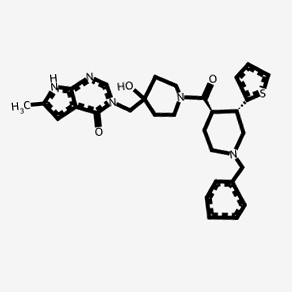 Cc1cc2c(=O)n(CC3(O)CCN(C(=O)[C@@H]4CCN(Cc5ccccc5)C[C@H]4c4cccs4)CC3)cnc2[nH]1